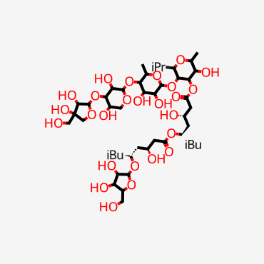 CC[C@H](C)[C@H](C[C@H](O)CC(=O)OC1C(O)C(C)OC(C(C)C)C1OC1OC(C)C(OC2OCC(O)C(OC3OCC(O)(CO)C3O)C2O)C(O)C1O)OC(=O)C[C@@H](O)C[C@H](OC1OC(CO)C(O)C1O)[C@@H](C)CC